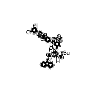 CN(c1ccc(CNC(=O)CN(CCNC(=O)OC(C)(C)C)C(=O)OCC2c3ccccc3-c3ccccc32)cc1C(=O)Nc1ccc(S(=O)(=O)N2CCN(c3cc(Cl)cc(Cl)c3)CC2)cc1)S(C)(=O)=O